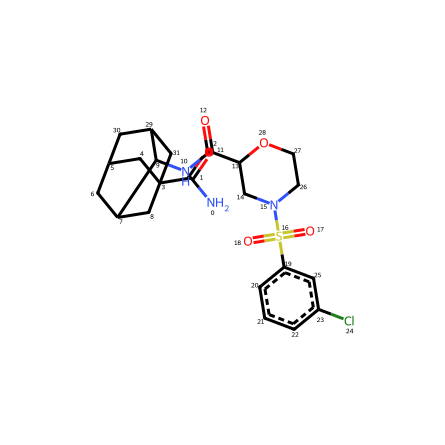 NC(=O)C12CC3CC(C1)C(NC(=O)C1CN(S(=O)(=O)c4cccc(Cl)c4)CCO1)C(C3)C2